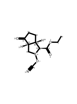 CCOC(=O)[C@H]1B(OC#N)C[C@@H]2C(=O)CC[C@@H]21